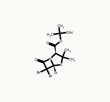 CC(=O)OC(C)(C)OC(=O)[C@@H]1N2C(=O)C(Br)(Br)[C@H]2SC1(C)C